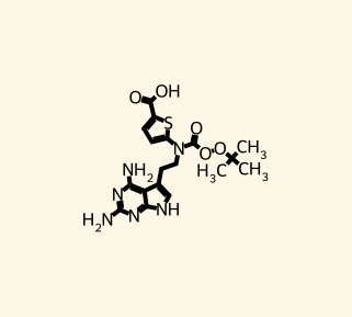 CC(C)(C)OOC(=O)N(CCc1c[nH]c2nc(N)nc(N)c12)c1ccc(C(=O)O)s1